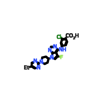 CCc1cnc(N2CCC(n3cc(F)c4c(Nc5ccc(C(=O)O)c(Cl)c5)ncnc43)CC2)nc1